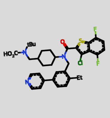 CCc1ccc(-c2ccncc2)cc1CN(C(=O)c1sc2c(F)ccc(F)c2c1Cl)C1CCC(CN(C(=O)O)C(C)(C)C)CC1